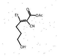 CCC(CCCO)=C(C#N)C(=O)OC(C)=O